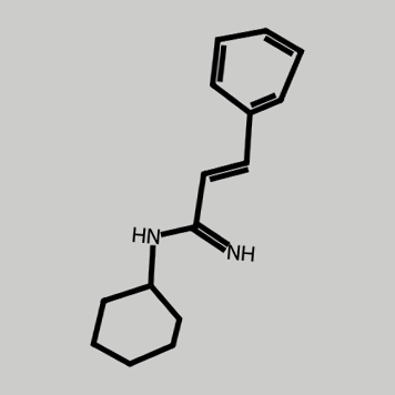 N=C(/C=C/c1ccccc1)NC1CCCCC1